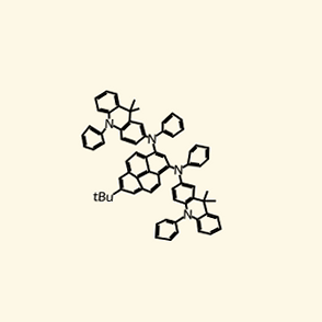 CC(C)(C)c1cc2ccc3c(N(c4ccccc4)c4ccc5c(c4)C(C)(C)c4ccccc4N5c4ccccc4)cc(N(c4ccccc4)c4ccc5c(c4)C(C)(C)c4ccccc4N5c4ccccc4)c4ccc(c1)c2c34